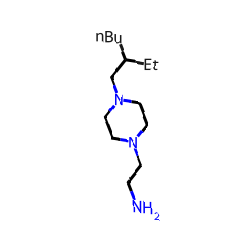 CCCCC(CC)CN1CCN(CCN)CC1